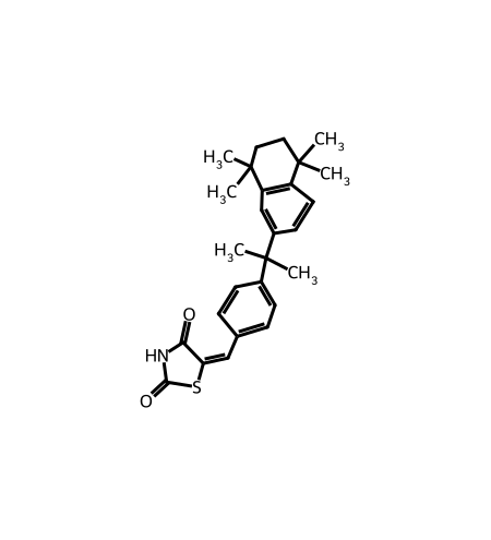 CC1(C)CCC(C)(C)c2cc(C(C)(C)c3ccc(C=C4SC(=O)NC4=O)cc3)ccc21